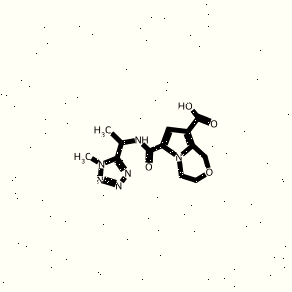 CC(NC(=O)c1cc(C(=O)O)c2n1CCOC2)c1nnnn1C